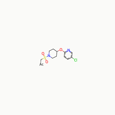 CC(=O)CS(=O)(=O)N1CCC(Oc2ccc(Cl)cn2)CC1